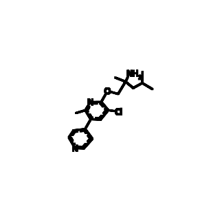 Cc1nc(OCC(C)(N)CC(C)C)c(Cl)cc1-c1ccncc1